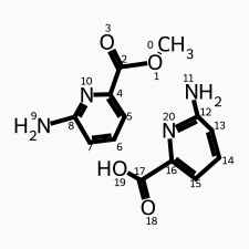 COC(=O)c1cccc(N)n1.Nc1cccc(C(=O)O)n1